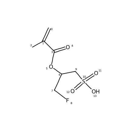 C=C(C)C(=O)OC(CF)CS(=O)(=O)O